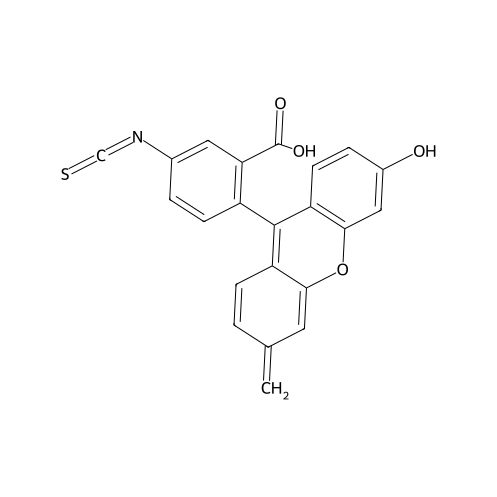 C=c1ccc2c(c1)Oc1cc(O)ccc1C=2c1ccc(N=C=S)cc1C(=O)O